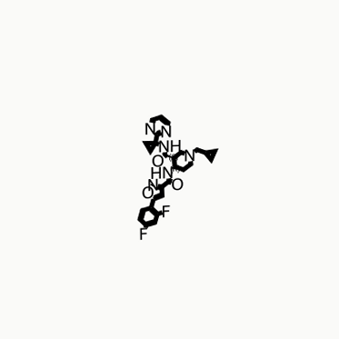 O=C(N[C@@H]1CCN(CC2CC2)C[C@@H]1C(=O)NC1(c2ncccn2)CC1)c1cc(-c2ccc(F)cc2F)on1